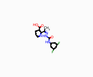 C/C(=N/NC(=O)Nc1cc(F)cc(F)c1)c1ncccc1C(=O)O